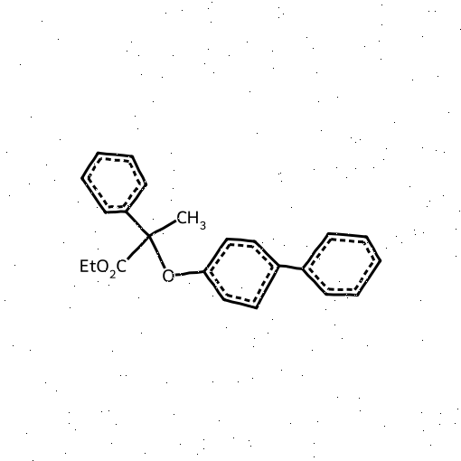 CCOC(=O)C(C)(Oc1ccc(-c2ccccc2)cc1)c1ccccc1